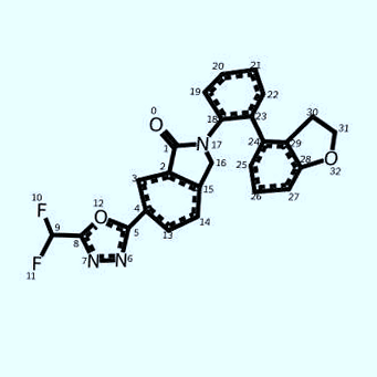 O=C1c2cc(-c3nnc(C(F)F)o3)ccc2CN1c1ccccc1-c1cccc2c1CCO2